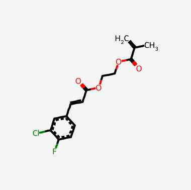 C=C(C)C(=O)OCCOC(=O)/C=C/c1ccc(F)c(Cl)c1